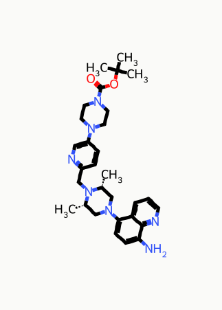 C[C@@H]1CN(c2ccc(N)c3ncccc23)C[C@H](C)N1Cc1ccc(N2CCN(C(=O)OC(C)(C)C)CC2)cn1